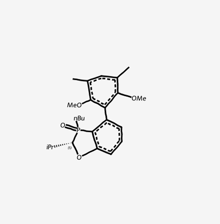 CCCCP1(=O)c2c(cccc2-c2c(OC)c(C)cc(C)c2OC)O[C@@H]1C(C)C